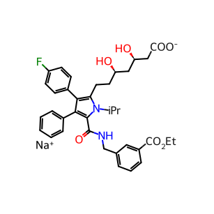 CCOC(=O)c1cccc(CNC(=O)c2c(-c3ccccc3)c(-c3ccc(F)cc3)c(CC[C@@H](O)C[C@@H](O)CC(=O)[O-])n2C(C)C)c1.[Na+]